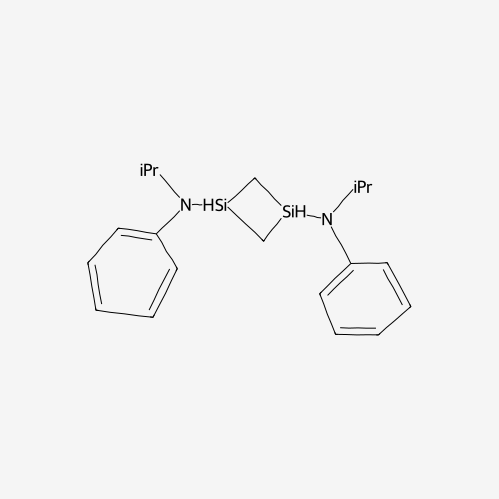 CC(C)N(c1ccccc1)[SiH]1C[SiH](N(c2ccccc2)C(C)C)C1